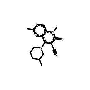 Cc1ccc2c(n1)c(N1CCCC(C)C1)c(C#N)c(=O)n2C